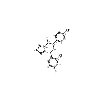 Clc1ccc(C(SCc2ccc(Cl)cc2Cl)C(Cl)n2ccnc2)cc1